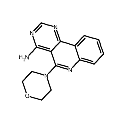 Nc1ncnc2c1c(N1CCOCC1)nc1ccccc12